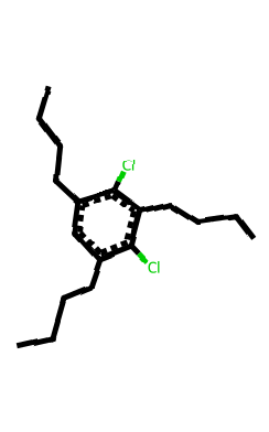 CCCCc1cc(CCCC)c(Cl)c(CCCC)c1Cl